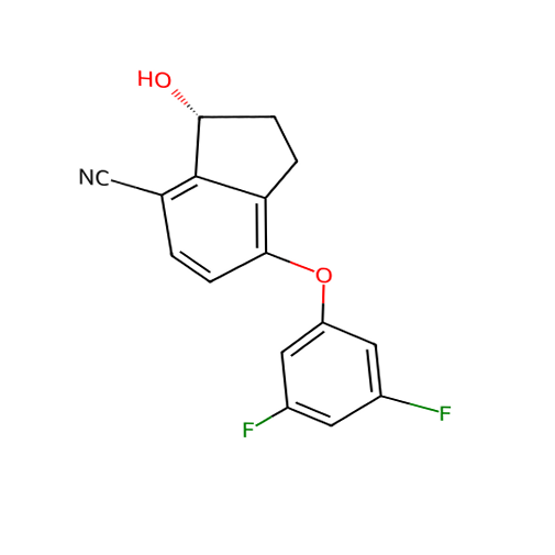 N#Cc1ccc(Oc2cc(F)cc(F)c2)c2c1[C@H](O)CC2